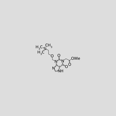 COC(=O)Cn1c(=O)c2[nH]cnc2n(COCC[Si](C)(C)C)c1=O